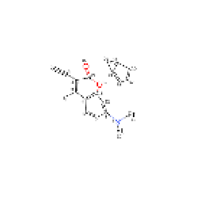 C#Cc1c(C)c2ccc(N(CC)CC)cc2oc1=O.c1cc2cc-2c1